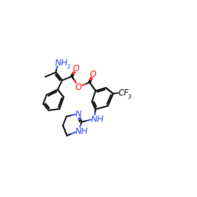 CC(N)=C(C(=O)OC(=O)c1cc(NC2=NCCCN2)cc(C(F)(F)F)c1)c1ccccc1